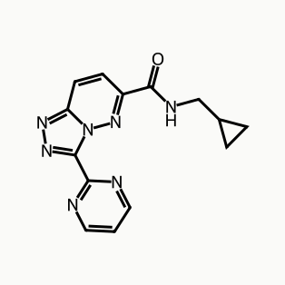 O=C(NCC1CC1)c1ccc2nnc(-c3ncccn3)n2n1